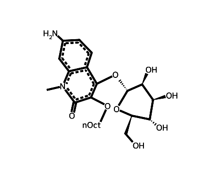 CCCCCCCCOc1c(O[C@H]2O[C@H](CO)[C@@H](O)[C@H](O)[C@@H]2O)c2ccc(N)cc2n(C)c1=O